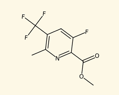 COC(=O)c1nc(C)c(C(F)(F)F)cc1F